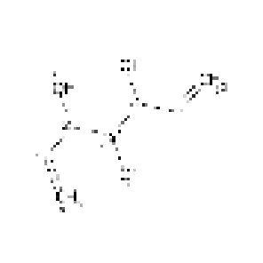 C=CC(O)[S+]([O-])C(O)C=C